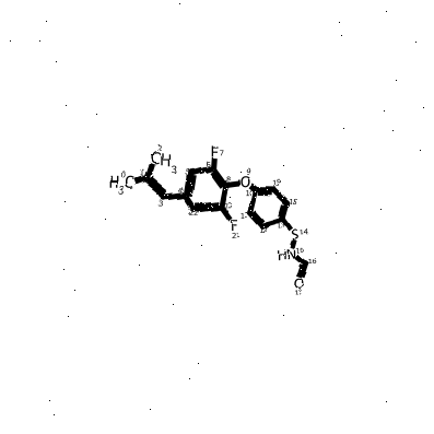 CC(C)=Cc1cc(F)c(Oc2ccc(SNC=O)cc2)c(F)c1